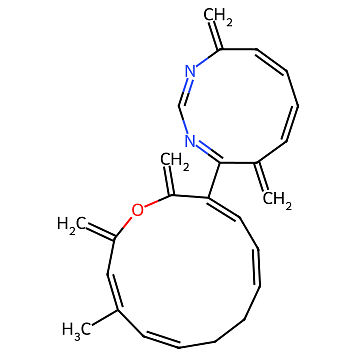 C=C1/C=C(C)\C=C/CC/C=C\C=C(\c2ncnc(=C)ccccc2=C)C(=C)O1